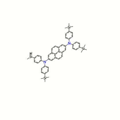 C[SiH](C)c1ccc(N(c2ccc([Si](C)(C)C)cc2)c2cc3ccc4cc(N(c5ccc([Si](C)(C)C)cc5)c5ccc([Si](C)(C)C)cc5)cc5ccc(c2)c3c45)cc1